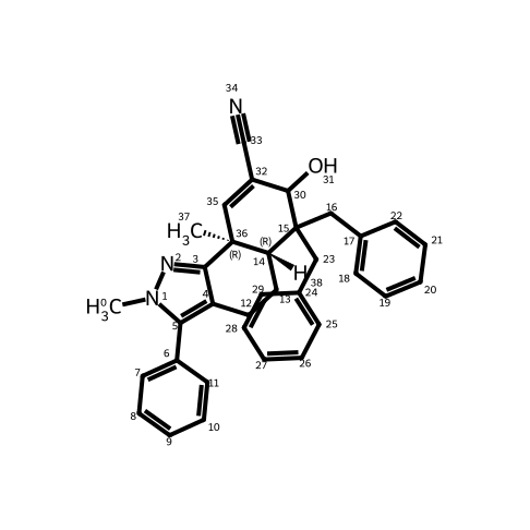 Cn1nc2c(c1-c1ccccc1)CC[C@H]1C(Cc3ccccc3)(Cc3ccccc3)C(O)C(C#N)=C[C@]21C